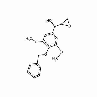 COc1cc([C@@H](O)C2CO2)cc(OC)c1OCc1ccccc1